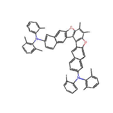 Cc1ccccc1N(c1ccc2cc3c(cc2c1)oc1c(C)c(C)c2oc4cc5cc(N(c6ccccc6C)c6c(C)cccc6C)ccc5cc4c2c13)c1c(C)cccc1C